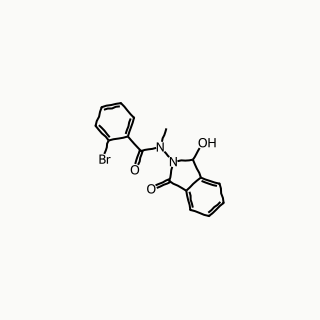 CN(C(=O)c1ccccc1Br)N1C(=O)c2ccccc2C1O